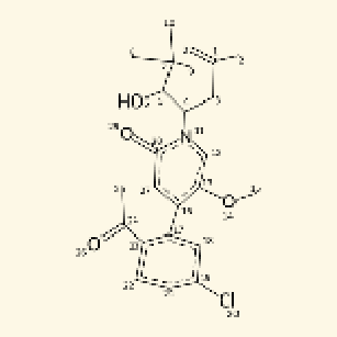 C=C(C)CC(C(O)C(C)(C)C)n1cc(OC)c(-c2cc(Cl)ccc2C(C)=O)cc1=O